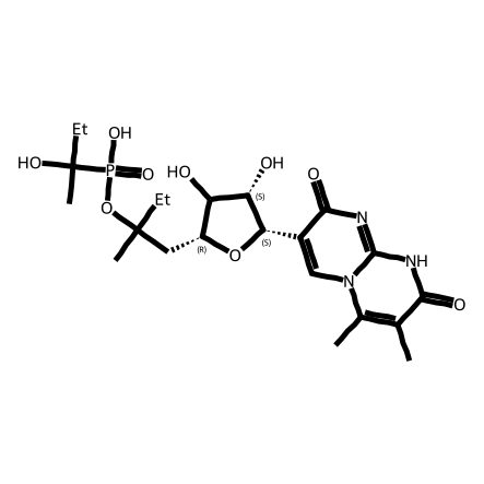 CCC(C)(C[C@H]1O[C@@H](c2cn3c(C)c(C)c(=O)[nH]c3nc2=O)[C@@H](O)C1O)OP(=O)(O)C(C)(O)CC